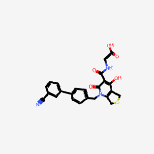 N#Cc1cccc(-c2ccc(Cn3c4c(c(O)c(C(=O)NCC(=O)O)c3=O)CSC4)cc2)c1